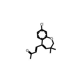 CC(=O)C=CC1=CC(C)(C)COc2cc(Cl)ccc21